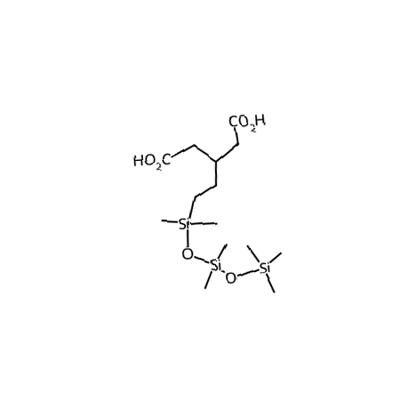 C[Si](C)(C)O[Si](C)(C)O[Si](C)(C)CCC(CC(=O)O)CC(=O)O